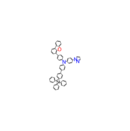 c1ccc([Si](c2ccccc2)(c2ccccc2)c2ccc(-c3ccc(N(c4ccc(-c5cccc6c5oc5ccccc56)cc4)c4ccc(-n5cccn5)cc4)cc3)cc2)cc1